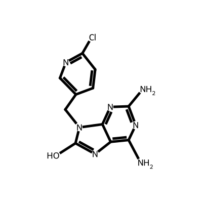 Nc1nc(N)c2nc(O)n(Cc3ccc(Cl)nc3)c2n1